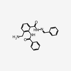 NCc1cccc(C(=O)N/N=C/c2ccccc2)c1NC(=O)c1ccccc1